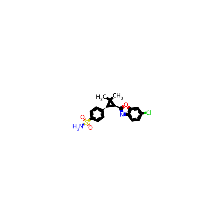 CC1(C)[C@@H](c2ccc(S(N)(=O)=O)cc2)[C@@H]1c1nc2ccc(Cl)cc2o1